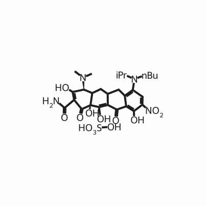 CCCCN(c1cc([N+](=O)[O-])c(O)c2c1CC1CC3[C@H](N(C)C)C(O)=C(C(N)=O)C(=O)[C@@]3(O)C(O)=C1C2=O)C(C)C.O=S(=O)(O)O